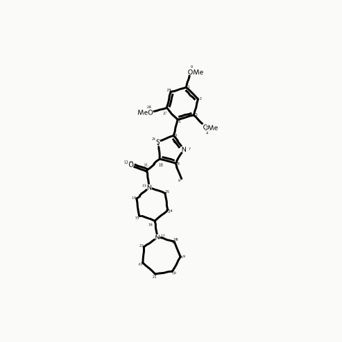 COc1cc(OC)c(-c2nc(C)c(C(=O)N3CCC(N4CCCCCC4)CC3)s2)c(OC)c1